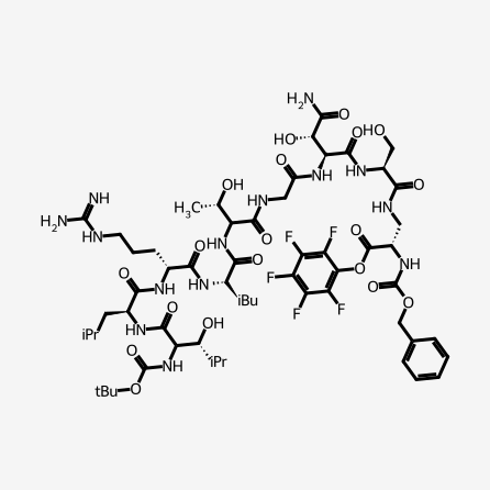 CC[C@H](C)[C@H](NC(=O)[C@@H](CCCNC(=N)N)NC(=O)[C@H](CC(C)C)NC(=O)C(NC(=O)OC(C)(C)C)[C@H](O)C(C)C)C(=O)NC(C(=O)NCC(=O)N[C@H](C(=O)N[C@@H](CO)C(=O)NC[C@H](NC(=O)OCc1ccccc1)C(=O)Oc1c(F)c(F)c(F)c(F)c1F)[C@H](O)C(N)=O)[C@H](C)O